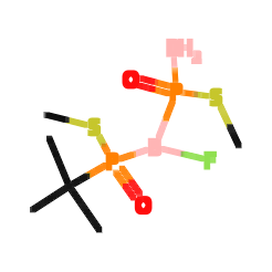 BP(=O)(SC)B(F)P(=O)(SC)C(C)(C)C